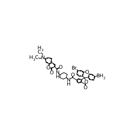 Bc1ccc2c(c1)Oc1cc(Br)ccc1C21OC(=O)c2ccc(C(=O)NC3CCC(NC(=O)c4cc5ccc(N(CC)CC)cc5oc4=O)CC3)cc21